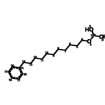 OP(O)OCCCCCCCCCCCc1ccccc1